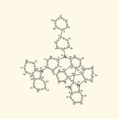 c1ccc(-c2ccc(N(c3ccc(-n4c5ccccc5c5ccccc54)cc3)c3cccc4c3-c3ccccc3C43c4ccccc4-n4c3nc3ccccc34)cc2)cc1